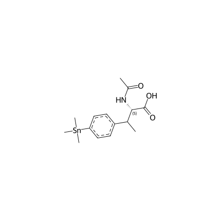 CC(=O)N[C@H](C(=O)O)C(C)c1cc[c]([Sn]([CH3])([CH3])[CH3])cc1